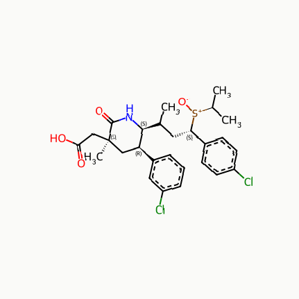 CC(C[C@@H](c1ccc(Cl)cc1)[S+]([O-])C(C)C)[C@@H]1NC(=O)[C@](C)(CC(=O)O)C[C@@H]1c1cccc(Cl)c1